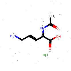 CC(=O)NC(/C=C/CN)C(=O)O.Cl